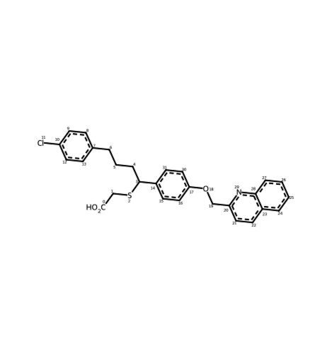 O=C(O)CSC(CCCc1ccc(Cl)cc1)c1ccc(OCc2ccc3ccccc3n2)cc1